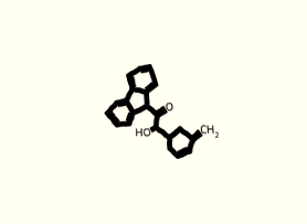 C=C1C=CCC(C(O)C(=O)C2c3ccccc3-c3ccccc32)C1